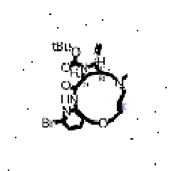 C#C[C@@H]1[C@@H]2C[C@@H](C(=O)Nc3nc(Br)ccc3COC/C=C/CN(C)C2)N1C(=O)OC(C)(C)C